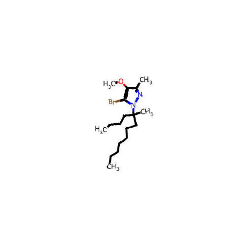 CCCCCCCC(C)(CCCC)n1nc(C)c(OC)c1Br